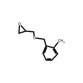 Cc1ccccc1COCC1CO1